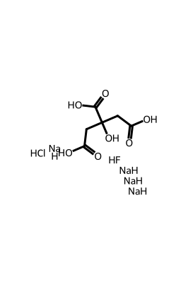 Cl.F.O=C(O)CC(O)(CC(=O)O)C(=O)O.[NaH].[NaH].[NaH].[NaH]